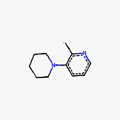 [CH2]c1ncccc1N1CCCCC1